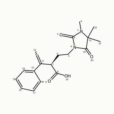 CN1C(=O)N(CC[C@@H](C(=O)O)C(=S)c2ccccc2)C(=O)C1(C)C